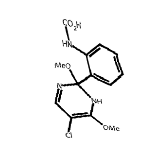 COC1=C(Cl)C=NC(OC)(c2ccccc2NC(=O)O)N1